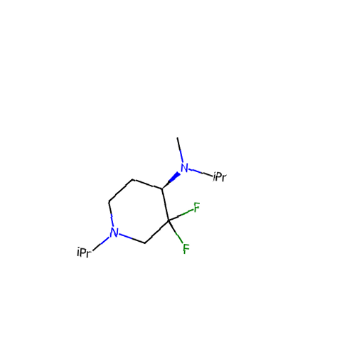 CC(C)N1CC[C@@H](N(C)C(C)C)C(F)(F)C1